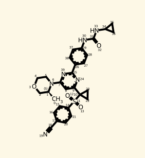 C[C@H]1COCCN1c1cc(C2(S(=O)(=O)c3ccc(C#N)cc3)CC2)nc(-c2ccc(NC(=O)NC3CC3)cc2)n1